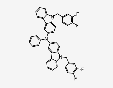 Fc1ccc(Cn2c3ccccc3c3cc(N(c4ccccc4)c4ccc5c(c4)c4ccccc4n5Cc4ccc(F)c(F)c4)ccc32)cc1F